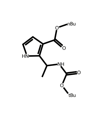 CCCCOC(=O)c1cc[nH]c1C(C)NC(=O)OC(C)(C)C